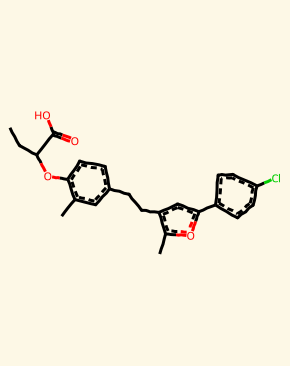 CCC(Oc1ccc(CCc2cc(-c3ccc(Cl)cc3)oc2C)cc1C)C(=O)O